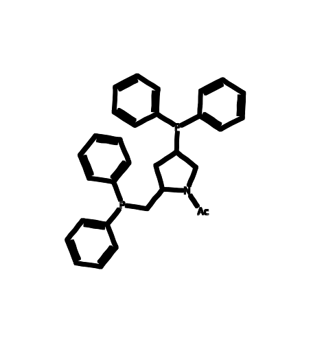 CC(=O)N1CC(P(c2ccccc2)c2ccccc2)CC1CP(c1ccccc1)c1ccccc1